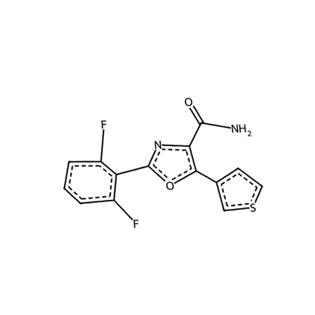 NC(=O)c1nc(-c2c(F)cccc2F)oc1-c1ccsc1